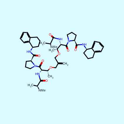 C=C(CO[C@H](C)[C@H](NC(=O)[C@H](C)NC)C(=O)N1CCC[C@H]1C(=O)N[C@@H]1CCCc2ccccc21)CO[C@H](C)[C@H](NC(=O)[C@H](C)NC)C(=O)N1CCC[C@H]1C(=O)N[C@@H]1CCCc2ccccc21